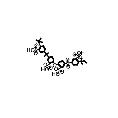 CCC(C)(C)c1ccc(S(=O)(=O)c2ccc(Oc3ccc(C(C)(C)c4ccc(OC(C)(C)C)c(S(=O)(=O)O)c4)cc3S(=O)(=O)O)c(S(=O)(=O)O)c2)cc1S(=O)(=O)O